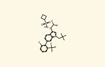 CC(C)(C)Cn1cc([C@H](NS(=O)(=O)C2CCC2)C(F)F)c2ccc(-c3c(F)cccc3C(F)(F)F)cc21